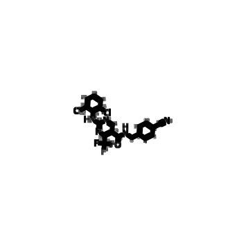 N#Cc1ccc(CNC(=O)c2cnc(Nc3c(Cl)cccc3Cl)nc2C(F)(F)F)cc1